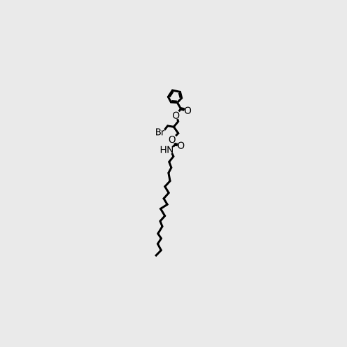 CCCCCCCCCCCCCCCCCCNC(=O)OCC(CBr)COC(=O)c1ccccc1